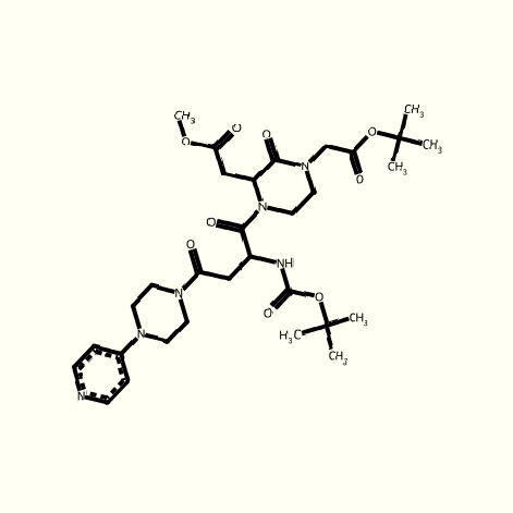 COC(=O)CC1C(=O)N(CC(=O)OC(C)(C)C)CCN1C(=O)C(CC(=O)N1CCN(c2ccncc2)CC1)NC(=O)OC(C)(C)C